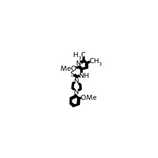 COc1ccccc1N1CCN(C(=S)Nc2cc(C)c(C)nc2OC)CC1